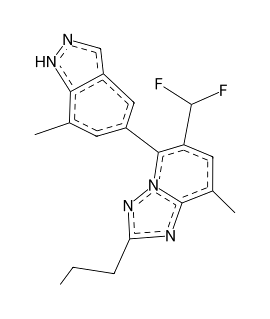 CCCc1nc2c(C)cc(C(F)F)c(-c3cc(C)c4[nH]ncc4c3)n2n1